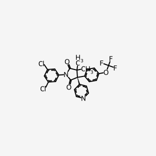 CC1(C)C(=O)N(c2cc(Cl)cc(Cl)c2)C(=O)[C@@]1(c1ccncc1)c1ccc(OC(F)(F)F)cc1